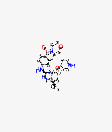 O=C(c1ccc(Nc2ncc3c(C(F)(F)F)ccc(OC4CCNCC4)c3n2)cc1)N1CCOCC1